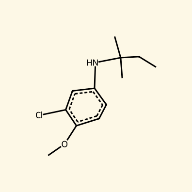 CCC(C)(C)Nc1ccc(OC)c(Cl)c1